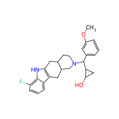 COc1cccc(C(C2CC2O)N2CCC3Cc4[nH]c5c(F)cccc5c4CC3C2)c1